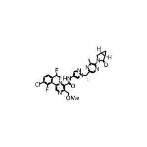 COCc1ncc(-c2c(C(F)F)ccc(Cl)c2F)nc1C(=O)Nc1cnn([C@@H](C)c2cnc(N3C[C@H]4C[C@H]4C3=O)c(C)n2)c1